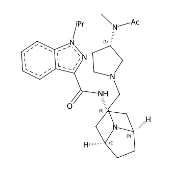 CC(=O)N(C)[C@H]1CCN(CCN2[C@@H]3CC[C@H]2C[C@H](NC(=O)c2nn(C(C)C)c4ccccc24)C3)C1